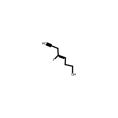 C#C[CH]/C(F)=C/CCO